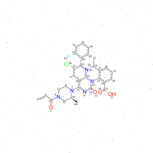 C=CC(=O)N1CCN(c2nc(=O)n(-c3c(C(=O)O)cccc3C(C)C)c3nc(-c4ccccc4F)c(Cl)cc23)[C@@H](C)C1